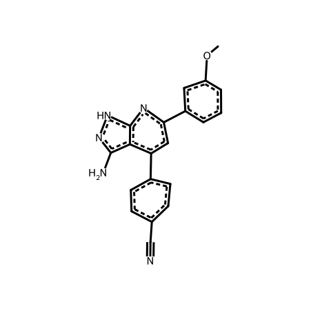 COc1cccc(-c2cc(-c3ccc(C#N)cc3)c3c(N)n[nH]c3n2)c1